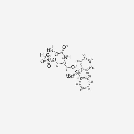 CC(C)(C)OC(=O)NC(CO[Si](c1ccccc1)(c1ccccc1)C(C)(C)C)COS(C)(=O)=O